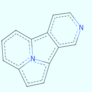 c1cc2ccc3c4cnccc4c(c1)n23